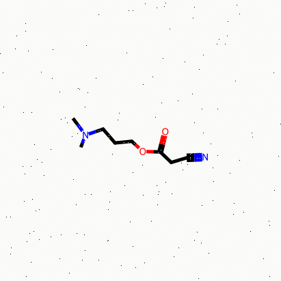 CN(C)CCCOC(=O)CC#N